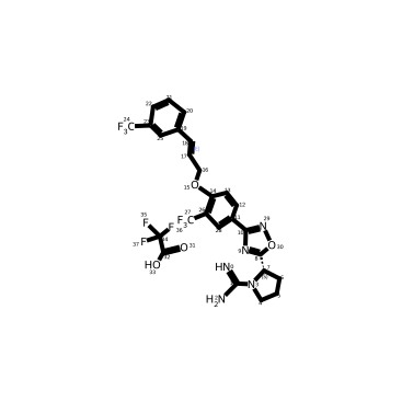 N=C(N)N1CCC[C@H]1c1nc(-c2ccc(OC/C=C/c3cccc(C(F)(F)F)c3)c(C(F)(F)F)c2)no1.O=C(O)C(F)(F)F